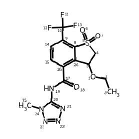 CCOC1CS(=O)(=O)c2c(C(F)(F)F)ccc(C(=O)Nc3nnnn3C)c21